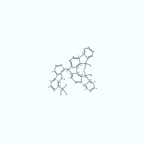 CC1(C)c2ccccc2-c2ccc3c(c21)c1c2c(ccc1n3-c1cccc3c1oc1c([Si](C)(C)C)cccc13)-c1ccccc1C2(C)C